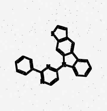 c1ccc(-c2nccc(-n3c4ccccc4c4cc5ccsc5cc43)n2)cc1